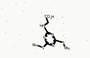 CC(C)(C)Sc1nc(NCC(=O)O)nc(SC(C)(C)C)n1